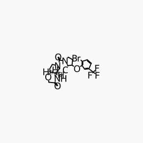 CC1C(Oc2cc(C(F)(F)F)ccc2Br)CCN1C(=O)N1CC[C@@H]2OCC(=O)N[C@@H]2C1